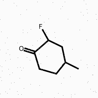 CC1CCC(=O)C(F)C1